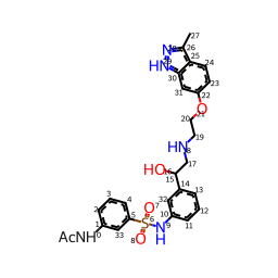 CC(=O)Nc1cccc(S(=O)(=O)Nc2cccc(C(O)CNCCOc3ccc4c(C)n[nH]c4c3)c2)c1